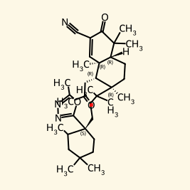 CC(=O)C[C@@H]1[C@@]2(C)C=C(C#N)C(=O)C(C)(C)[C@@H]2CC[C@@]1(C)C(C)(C)CC[C@@]1(c2nnc(C)o2)CCC(C)(C)CC1C